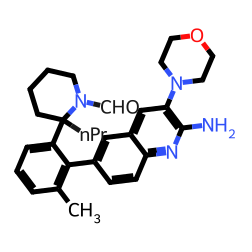 CCCC1(c2cccc(C)c2-c2ccc3nc(N)c(N4CCOCC4)cc3c2)CCCCN1C=O